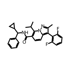 Cc1nn2c(C(C)C)c(C(=O)NC(c3ccccc3)C3CC3)ccc2c1-c1c(F)cccc1F